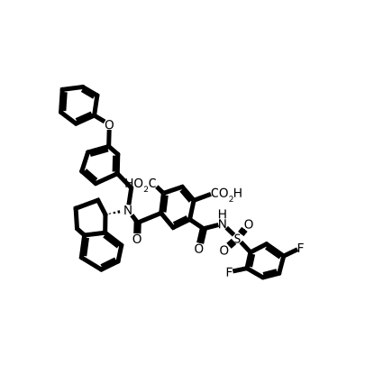 O=C(O)c1cc(C(=O)O)c(C(=O)N(Cc2cccc(Oc3ccccc3)c2)[C@H]2CCCc3ccccc32)cc1C(=O)NS(=O)(=O)c1cc(F)ccc1F